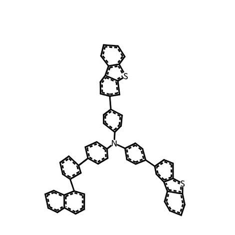 c1cc(-c2ccc(N(c3ccc(-c4ccc5c(c4)sc4ccccc45)cc3)c3ccc(-c4ccc5sc6ccccc6c5c4)cc3)cc2)cc(-c2cccc3ccccc23)c1